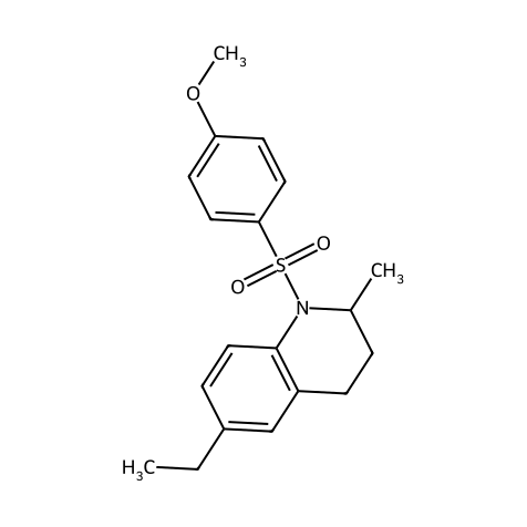 CCc1ccc2c(c1)CCC(C)N2S(=O)(=O)c1ccc(OC)cc1